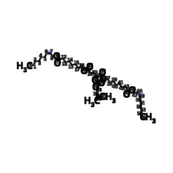 CCCCCC/C=C\COC(=O)CCCCCCCOC(=O)CCC(OC(=O)OCCN(C)C)C(=O)OCCCCCCCC(=O)OC/C=C\CCCCCC